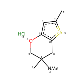 CNC1(C)COc2cc(C)sc2C1.Cl